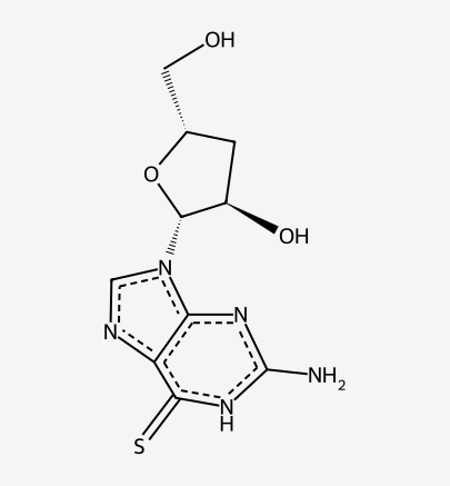 Nc1nc2c(ncn2[C@@H]2O[C@H](CO)C[C@H]2O)c(=S)[nH]1